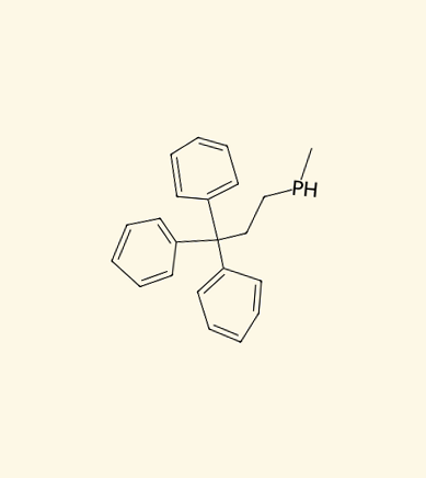 CPCCC(c1ccccc1)(c1ccccc1)c1ccccc1